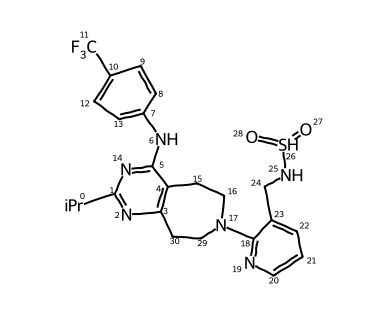 CC(C)c1nc2c(c(Nc3ccc(C(F)(F)F)cc3)n1)CCN(c1ncccc1CN[SH](=O)=O)CC2